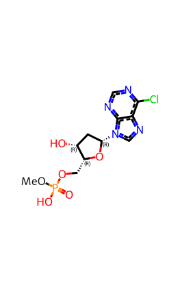 COP(=O)(O)OC[C@H]1O[C@@H](n2cnc3c(Cl)ncnc32)C[C@H]1O